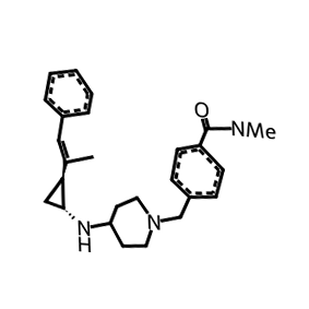 CNC(=O)c1ccc(CN2CCC(N[C@@H]3C[C@H]3/C(C)=C/c3ccccc3)CC2)cc1